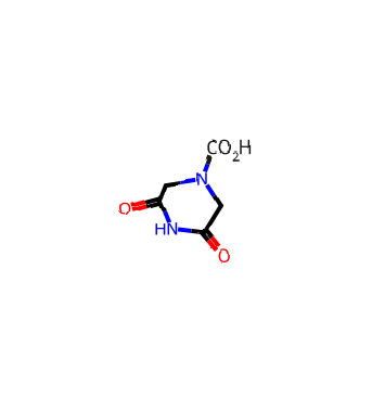 O=C1CN(C(=O)O)CC(=O)N1